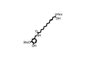 CCCCCC[C@@H](O)C/C=C/CCCCCCCC(=O)NCc1ccc(O)c(OC)c1